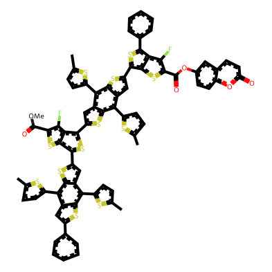 COC(=O)c1sc2c(-c3cc4c(-c5ccc(C)s5)c5sc(-c6ccccc6)cc5c(-c5ccc(C)s5)c4s3)sc(-c3cc4c(-c5ccc(C)s5)c5sc(-c6sc(-c7ccccc7)c7c(F)c(C(=O)Oc8ccc9oc(=O)ccc9c8)sc67)cc5c(-c5ccc(C)s5)c4s3)c2c1F